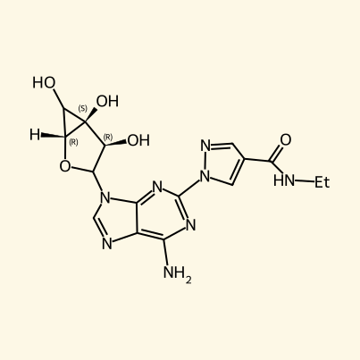 CCNC(=O)c1cnn(-c2nc(N)c3ncn(C4O[C@@H]5C(O)[C@]5(O)[C@H]4O)c3n2)c1